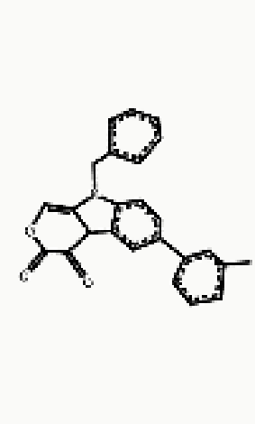 Cc1cccc(-c2ccc3c(c2)C2C(=O)C(=O)OC=C2N3Cc2ccccc2)c1